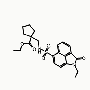 CCOC(=O)C1(CNS(=O)(=O)c2ccc3c4c(cccc24)C(=O)N3CC)CCCC1